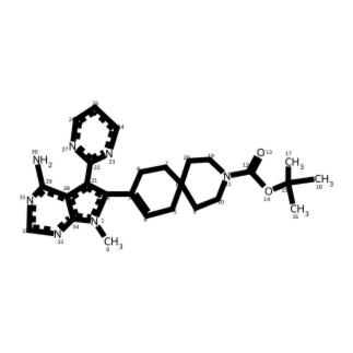 Cn1c(C2=CCC3(CC2)CCN(C(=O)OC(C)(C)C)CC3)c(-c2ncccn2)c2c(N)ncnc21